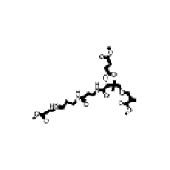 COC(=O)CC[SH]=CCCNC(=O)CCNC(=O)[C@H](OC(=O)CCC(=O)OC)C(C)(C)COCC(C)C(=O)OC